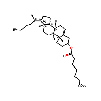 CCCCCCCCCCCCCCCC(=O)OC1CC[C@@]2(C)C(=CC[C@H]3[C@@H]4CC[C@H]([C@H](C)CCCC(C)C)[C@@]4(C)CC[C@@H]32)C1